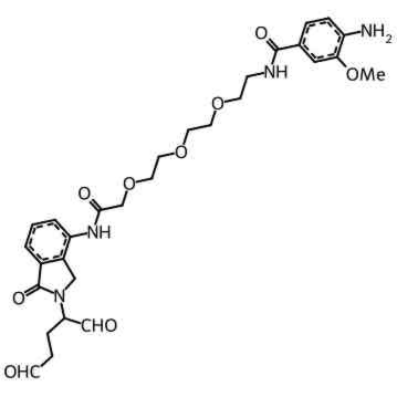 COc1cc(C(=O)NCCOCCOCCOCC(=O)Nc2cccc3c2CN(C(C=O)CCC=O)C3=O)ccc1N